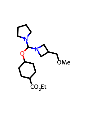 CCOC(=O)C1CCC(OC(N2CCCC2)N2CC(COC)C2)CC1